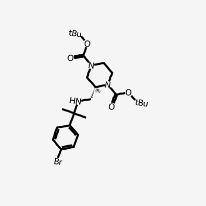 CC(C)(C)OC(=O)N1CCN(C(=O)OC(C)(C)C)[C@H](CNC(C)(C)c2ccc(Br)cc2)C1